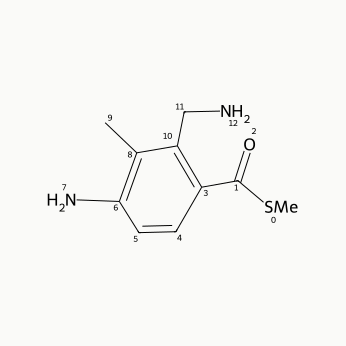 CSC(=O)c1ccc(N)c(C)c1CN